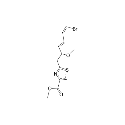 COC(=O)c1csc(CC(/C=C/C=C\Br)OC)n1